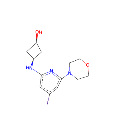 O[C@H]1C[C@@H](Nc2cc(I)cc(N3CCOCC3)n2)C1